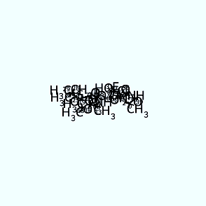 Cc1cn([C@@H]2O[C@H](CO[P@](=O)(N[C@H](C)C(=O)OC(C)C)OCCSC(=O)C(C)(C)C)[C@@H](O)[C@]2(F)Cl)c(=O)[nH]c1=O